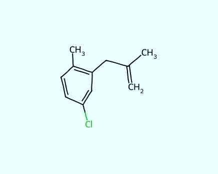 C=C(C)Cc1cc(Cl)ccc1C